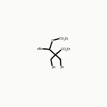 CCCCC(OC(=O)OCC)C(CC(C)C)(CC(C)C)C(=O)OCC